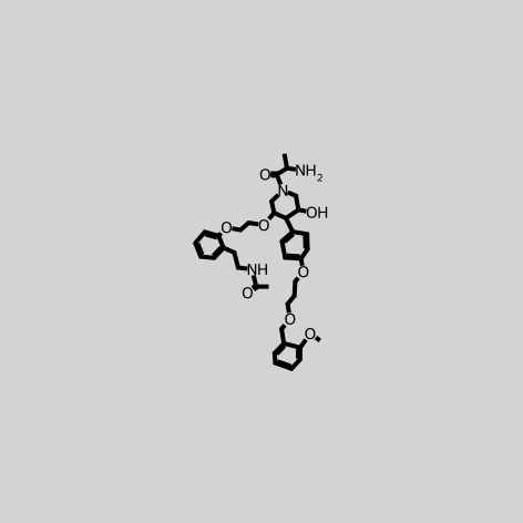 COc1ccccc1COCCCOc1ccc(C2C(O)CN(C(=O)C(C)N)CC2OCCOc2ccccc2CCNC(C)=O)cc1